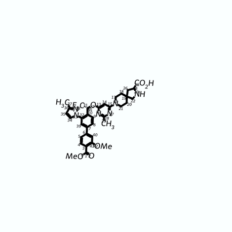 COC(=O)c1ccc(-c2ccc([C@@H](Oc3cc(N4CCC5(CC4)CNC(C(=O)O)C5)nc(C)n3)C(F)(F)F)c(-n3ccc(C)n3)c2)cc1OC